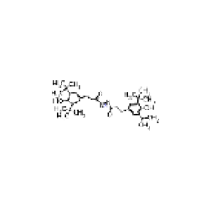 C=C(C)c1cc(CCC(=O)/N=N/C(=O)CCc2cc(C(C)(C)C)c(O)c(C(C)(C)C)c2)cc(C(C)(C)C)c1O